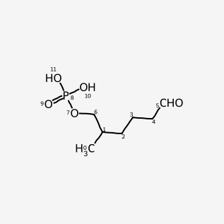 CC(CCCC=O)COP(=O)(O)O